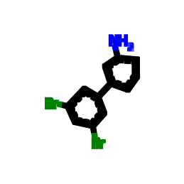 Nc1cccc(-c2cc(Br)cc(Br)c2)c1